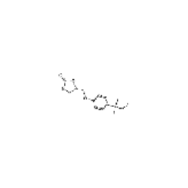 CCC(C)(C)c1ccc(OCC2CSC(=O)O2)cc1